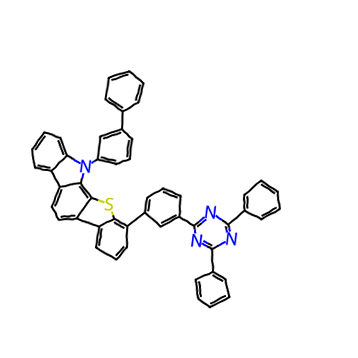 c1ccc(-c2cccc(-n3c4ccccc4c4ccc5c6cccc(-c7cccc(-c8nc(-c9ccccc9)nc(-c9ccccc9)n8)c7)c6sc5c43)c2)cc1